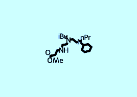 CCCN(CCN(CCNCCC(=O)OC)C(C)CC)C1CCCCC1